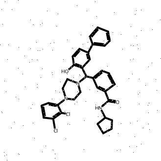 O=C(NC1CCCC1)c1cccc(C(c2cc(-c3ccccc3)ccc2O)N2CCN(c3cccc(Cl)c3Cl)CC2)c1